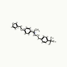 C/C(=N\OCc1ccc(C(F)(F)F)cc1)c1ccc(OCc2ccoc2)cc1